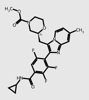 COC(=O)N1CCO[C@@H](Cc2c(-c3c(F)cc(C(=O)NC4CC4)c(F)c3F)nc3cc(C)ccn23)C1